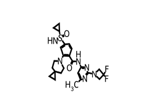 Cc1cc(NC(=O)c2ccc(S(=N)(=O)C3CC3)cc2N2CCC3(CC2)CC3)nc(N2CC(F)(F)C2)n1